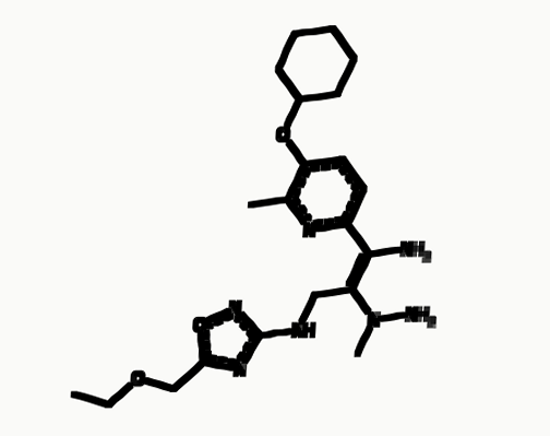 CCOCc1nc(NC/C(=C(/N)c2ccc(OC3CCCCC3)c(C)n2)N(C)N)no1